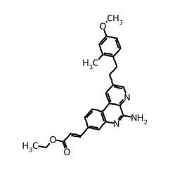 CCOC(=O)/C=C/c1ccc2c(c1)nc(N)c1ncc(CCc3ccc(OC)cc3C)cc12